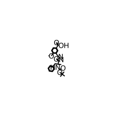 COc1ccc(C(=O)O)cc1-c1nnc(C(C)(Cc2ccccc2)NC(=O)OC(C)(C)C)o1